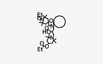 CCON1C(C)(C)CC2(CC1(C)C)OC1(CCCCCCCCCC1)N(CC(O)CN1C(C)(C)CC(OC(=O)CC)CC1(C)C)C2=O